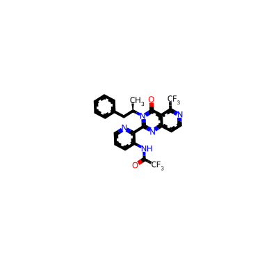 C[C@H](Cc1ccccc1)n1c(-c2ncccc2NC(=O)C(F)(F)F)nc2ccnc(C(F)(F)F)c2c1=O